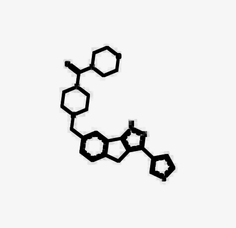 O=C(N1CCOCC1)N1CCN(Cc2ccc3c(c2)-c2[nH]nc(-c4ccsc4)c2C3)CC1